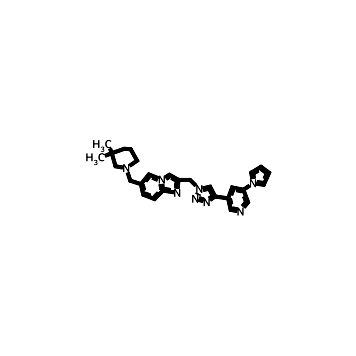 CC1(C)CCCN(Cc2ccc3nc(Cn4cc(-c5cncc(-n6cccc6)c5)nn4)cn3c2)C1